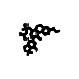 CCOc1ccc2c(c1)CCN(C(=O)CC(C)(O)CC(=O)O)[C@H]2C(=O)Nc1cc(F)c2c(c1)CCC2(C)C